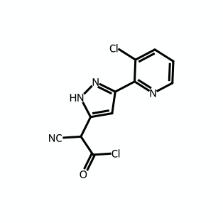 N#CC(C(=O)Cl)c1cc(-c2ncccc2Cl)n[nH]1